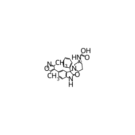 Cc1noc(C)c1-c1ccc2c(c1)C(c1ccccc1)(N1CCC[C@H](NC(=O)O)C1)C(=O)N2